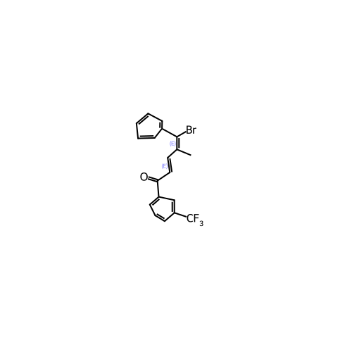 CC(/C=C/C(=O)c1cccc(C(F)(F)F)c1)=C(\Br)c1ccccc1